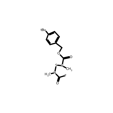 CN(SN(C)C(=O)OCc1ccc(C(C)(C)C)cc1)C(=O)F